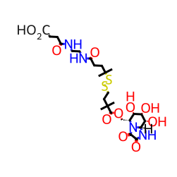 CC(C)(CCC(=O)NCCNC(=O)CCC(=O)O)SSCCC(C)(C)C(=O)OC[C@@H]1[C@@H](O)[C@H](O)[C@H](O)[C@H]2NC(=O)C(=O)N12